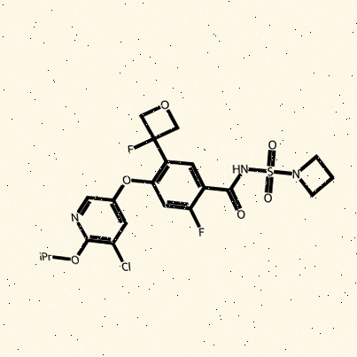 CC(C)Oc1ncc(Oc2cc(F)c(C(=O)NS(=O)(=O)N3CCC3)cc2C2(F)COC2)cc1Cl